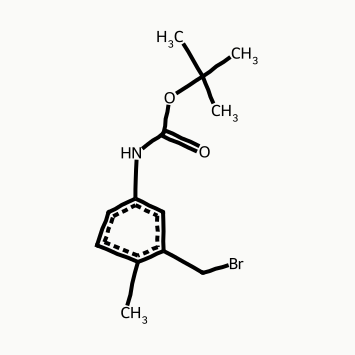 Cc1ccc(NC(=O)OC(C)(C)C)cc1CBr